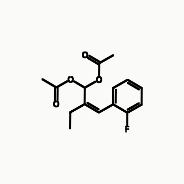 CCC(=Cc1ccccc1F)C(OC(C)=O)OC(C)=O